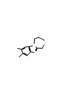 Cc1cc2nc3n(c2cc1C)CCCNC3